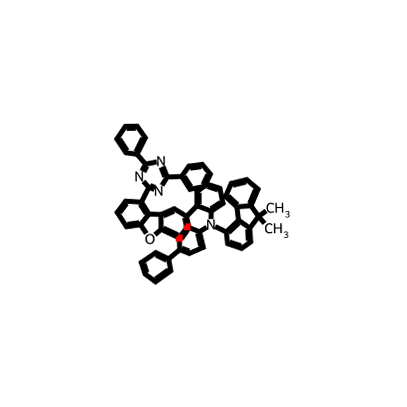 CC1(C)c2ccccc2-c2c(N(c3ccc(-c4ccccc4)cc3)c3ccccc3-c3ccc4oc5cccc(-c6nc(-c7ccccc7)nc(-c7ccccc7)n6)c5c4c3)cccc21